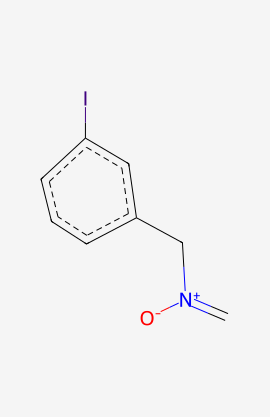 C=[N+]([O-])Cc1cccc(I)c1